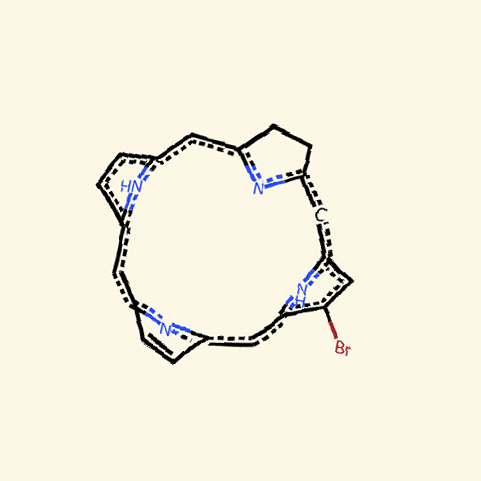 Brc1cc2cc3nc(cc4ccc(cc5nc(cc1[nH]2)C=C5)[nH]4)CC3